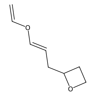 C=COC=CCC1CCO1